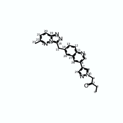 CCC(=O)Cn1cc(-c2cnc3ccc(Cc4nnc5ccc(C)nn45)cc3c2)cn1